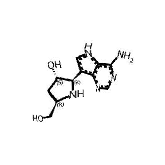 Nc1ncnc2c([C@H]3N[C@@H](CO)C[C@@H]3O)c[nH]c12